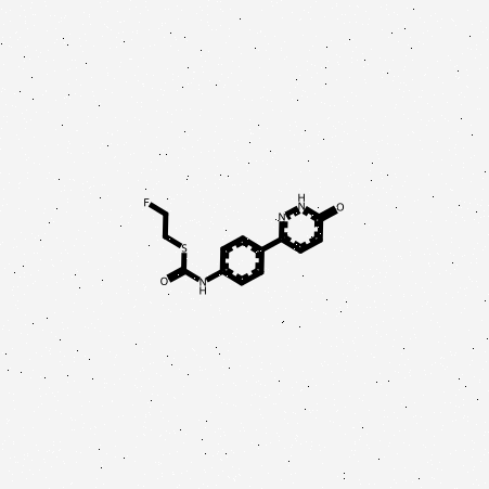 O=C(Nc1ccc(-c2ccc(=O)[nH]n2)cc1)SCCF